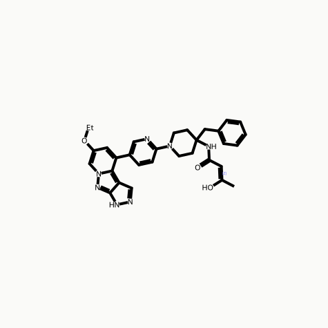 CCOc1cc(-c2ccc(N3CCC(Cc4ccccc4)(NC(=O)/C=C(/C)O)CC3)nc2)c2c3cn[nH]c3nn2c1